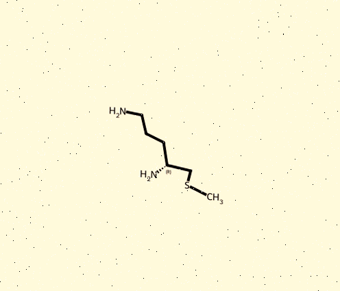 CSC[C@H](N)CCCN